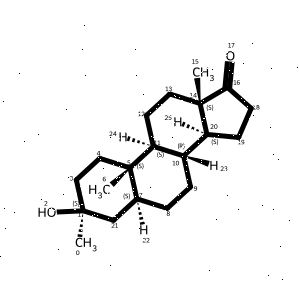 C[C@]1(O)CC[C@@]2(C)[C@@H](CC[C@@H]3[C@@H]2CC[C@]2(C)C(=O)CC[C@@H]32)C1